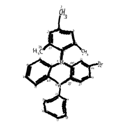 Cc1cc(C)c(B2c3ccccc3N(c3ccccc3)c3ccc(Br)cc32)c(C)c1